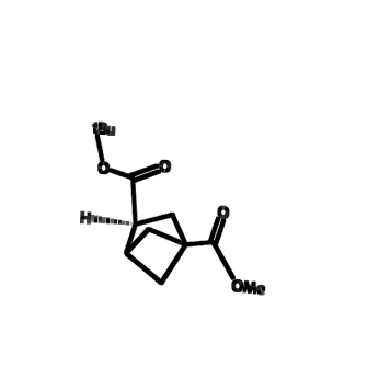 COC(=O)C12CC(C1)[C@@H](C(=O)OC(C)(C)C)C2